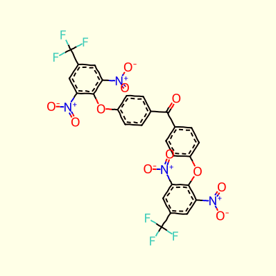 O=C(c1ccc(Oc2c([N+](=O)[O-])cc(C(F)(F)F)cc2[N+](=O)[O-])cc1)c1ccc(Oc2c([N+](=O)[O-])cc(C(F)(F)F)cc2[N+](=O)[O-])cc1